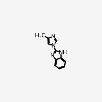 Cc1cn(-c2nc3ccccc3[nH]2)cn1